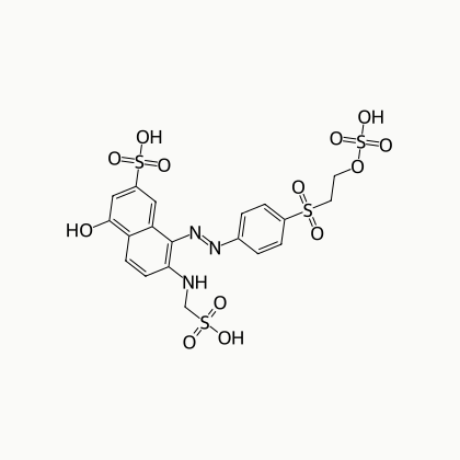 O=S(=O)(O)CNc1ccc2c(O)cc(S(=O)(=O)O)cc2c1/N=N/c1ccc(S(=O)(=O)CCOS(=O)(=O)O)cc1